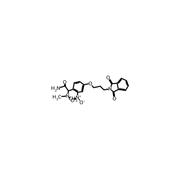 CN(C)C(C(N)=O)c1ccc(OCCCN2C(=O)c3ccccc3C2=O)cc1[N+](=O)[O-]